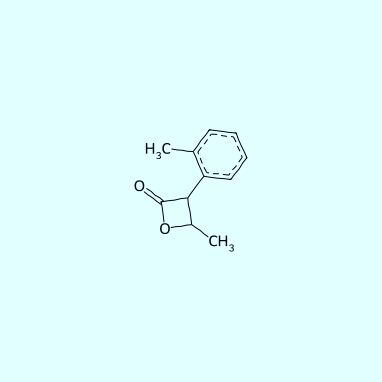 Cc1ccccc1C1C(=O)OC1C